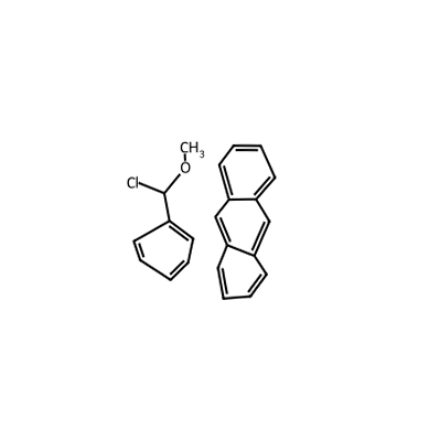 COC(Cl)c1ccccc1.c1ccc2cc3ccccc3cc2c1